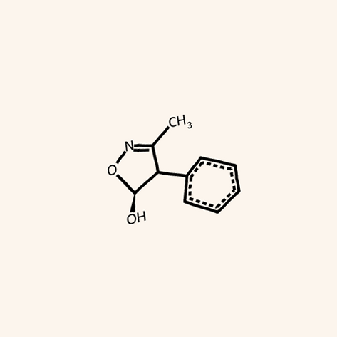 CC1=NO[C@H](O)C1c1ccccc1